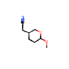 COC1CCC(CC#N)CO1